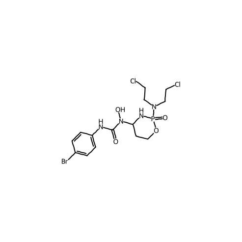 O=C(Nc1ccc(Br)cc1)N(O)C1CCOP(=O)(N(CCCl)CCCl)N1